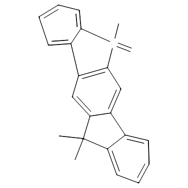 CC1(C)c2ccccc2-c2cc3c(cc21)-c1ccccc1P3(C)=O